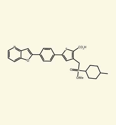 COP(=O)(Cc1cc(-c2ccc(-c3cc4ncccc4o3)cc2)sc1C(=O)O)C1CCC(C)CC1